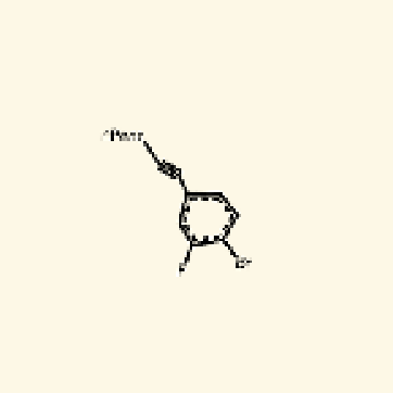 CCCCCC#Cc1ccc(Br)c(F)c1